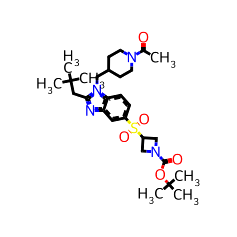 CC(=O)N1CCC(Cn2c(CC(C)(C)C)nc3cc(S(=O)(=O)C4CN(C(=O)OC(C)(C)C)C4)ccc32)CC1